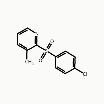 Cc1cccnc1S(=O)(=O)c1ccc(Cl)cc1